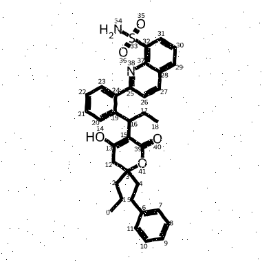 CCCC1(CCc2ccccc2)CC(O)=C(C(CC)c2ccccc2-c2ccc3cccc(S(N)(=O)=O)c3n2)C(=O)O1